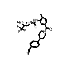 Cc1ccc(C(=O)N2CCC(c3ccc(C#N)cc3)CC2)cc1NC(=O)NCC(O)C(F)(F)F